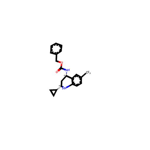 O=C(N[C@H]1C[C@@H](C2CC2)Nc2ccc(C(F)(F)F)cc21)OCc1ccccc1